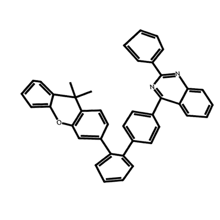 CC1(C)c2ccccc2Oc2cc(-c3ccccc3-c3ccc(-c4nc(-c5ccccc5)nc5ccccc45)cc3)ccc21